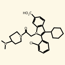 CN(C)C1CCN(C(=O)Cn2c(-c3ccccc3Cl)c(C3CCCCC3)c3ccc(C(=O)O)cc32)CC1